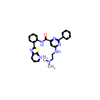 CN(C)CCNc1cc(C(=O)Nc2ccccc2-c2nc3cccnc3s2)nc(-c2ccccc2)n1